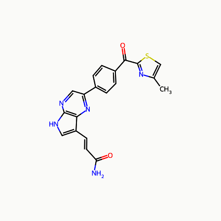 Cc1csc(C(=O)c2ccc(-c3cnc4[nH]cc(C=CC(N)=O)c4n3)cc2)n1